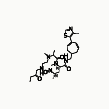 CCC(=O)CNCCN(C)C(C)C(=O)N(C)[C@@H](C[C@H](C)N=O)C(=O)NCC1CC=CC(c2scnc2C)=CC1